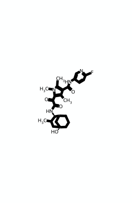 Cc1c(C(=O)Nc2ccc(F)nc2)c(C)n(C)c1C(=O)C(=O)N[C@@H]1C(C)C[C@]2(O)CCCC1C2